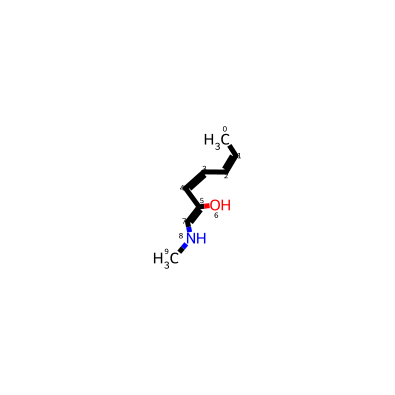 C\C=C/C=C\C(O)=C\NC